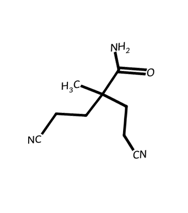 CC(CCC#N)(CCC#N)C(N)=O